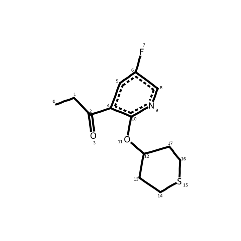 CCC(=O)c1cc(F)cnc1OC1CCSCC1